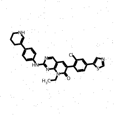 CCn1c(=O)c(-c2ccc(-c3cncs3)cc2Cl)cc2cnc(Nc3ccc(C4=CNCCC4)cc3)nc21